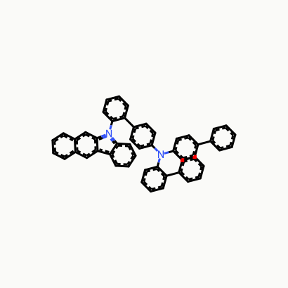 c1ccc(-c2ccc(N(c3ccc(-c4ccccc4-n4c5ccccc5c5cc6ccccc6cc54)cc3)c3ccccc3-c3ccccc3)cc2)cc1